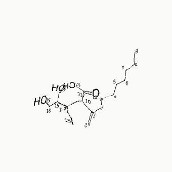 C=C(CCCCCCCC)C(C(=O)O)C(I)C(O)CO